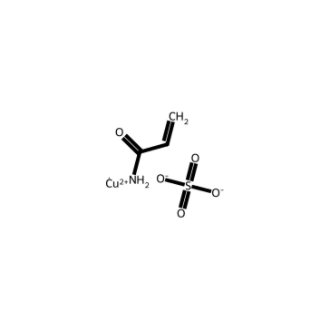 C=CC(N)=O.O=S(=O)([O-])[O-].[Cu+2]